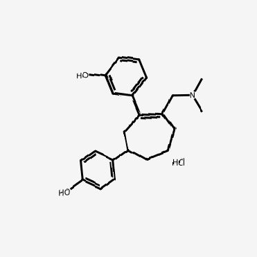 CN(C)CC1=C(c2cccc(O)c2)CC(c2ccc(O)cc2)CCC1.Cl